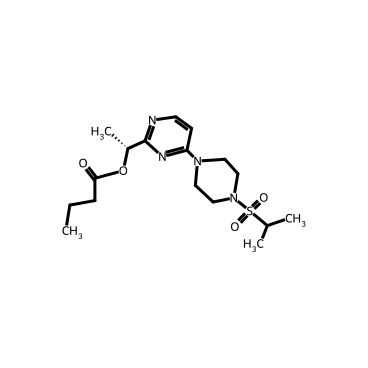 CCCC(=O)O[C@H](C)c1nccc(N2CCN(S(=O)(=O)C(C)C)CC2)n1